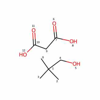 CC(C)(C)CO.O=C(O)CC(=O)O